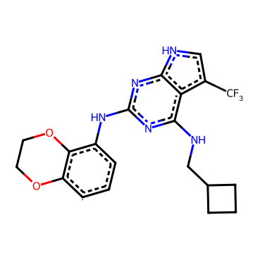 FC(F)(F)c1c[nH]c2nc(Nc3cc[c]c4c3OCCO4)nc(NCC3CCC3)c12